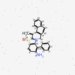 C=Cc1sc2ccc(N)c(-c3ccccc3)c2[n+]1Cc1ccc2ccccc2c1.[Br-]